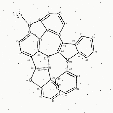 Nn1c2cccc3c2c2c1ccc1c4oc5ccccc5c4n(c12)c1c3c2ccccc2n1-c1ccccc1